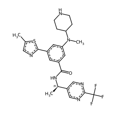 Cc1cnc(-c2cc(C(=O)N[C@H](C)c3cnc(C(F)(F)F)nc3)cc(N(C)C3CCNCC3)c2)s1